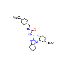 COc1ccc(C[C@@H](NC(=O)N[C@@H](C)c2ccc(OC)cc2)c2nc3ccccc3[nH]2)cc1